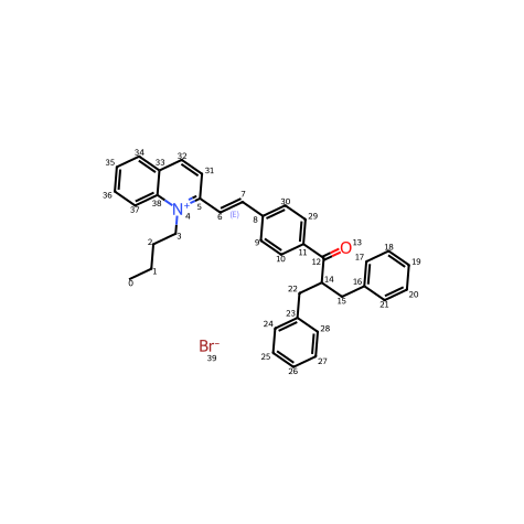 CCCC[n+]1c(/C=C/c2ccc(C(=O)C(Cc3ccccc3)Cc3ccccc3)cc2)ccc2ccccc21.[Br-]